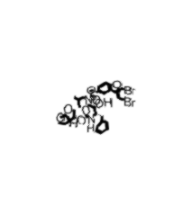 CC(C)CN(C[C@@H](O)[C@H](Cc1ccccc1)NC(=O)O[C@H]1COC2OCC[C@@H]21)S(=O)(=O)c1ccc2oc(Br)c(CBr)c2c1